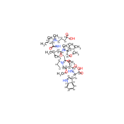 CC[C@H](C)[C@@H]([C@@H](CC(=O)N1CCC[C@H]1[C@H](OC)[C@@H](C)C(=O)N[C@@H](Cc1c[nH]c2ccccc12)C(=O)O)OC)N(C)C(=O)[C@@H](NC(=O)[C@H](C(C)C)N(C)CCCC(=O)O)C(C)C